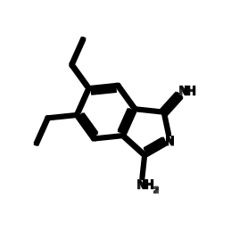 CCc1cc2c(cc1CC)C(N)=NC2=N